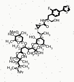 CCCN(C)[C@H](C)[C@@H](O)[C@](C)(O)[C@@H](CC)OC(=O)[C@H](C)[C@@H](O[C@H]1C[C@@](C)(OC)[C@@H](O)[C@H](C)O1)[C@H](C)[C@@H](O[C@@H]1O[C@H](C)C[C@H](N(C)C[C@@H]2C[C@H]2C(=O)N[C@H](CO)Cc2ccc(-c3cncs3)cc2F)[C@H]1O)C(C)(C)O